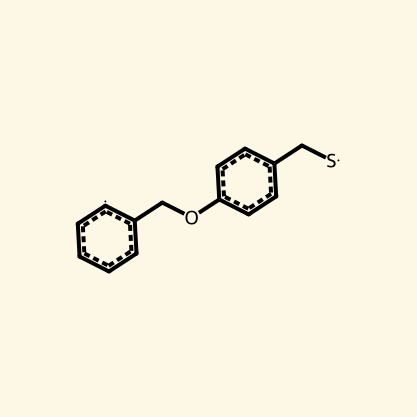 [S]Cc1ccc(OCc2[c]cccc2)cc1